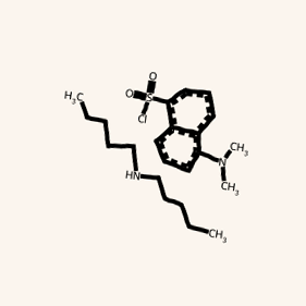 CCCCCNCCCCC.CN(C)c1cccc2c(S(=O)(=O)Cl)cccc12